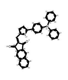 O=C1C(=Cc2ccc(-c3ccc(N(c4ccccc4)c4ccccc4)cc3)s2)C(=O)c2cc3ccccc3cc21